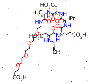 C#CCN[C@@H](CC(=O)O)C(=O)N[C@@H](CCC(=O)O)C(=O)N[C@H](C(=O)N[C@@H](CC(=O)O)C(=O)N[C@@H](C)C(=O)NCCOCCOCCOCCOCCC(=O)O)C(C)C